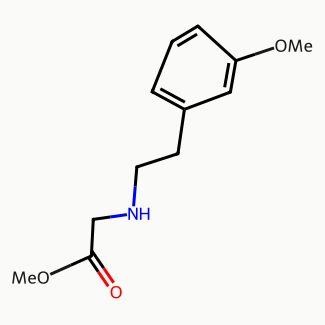 COC(=O)CNCCc1cccc(OC)c1